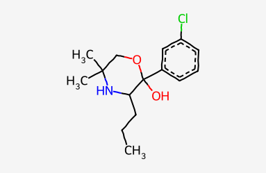 CCCC1NC(C)(C)COC1(O)c1cccc(Cl)c1